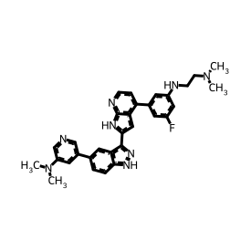 CN(C)CCNc1cc(F)cc(-c2ccnc3[nH]c(-c4n[nH]c5ccc(-c6cncc(N(C)C)c6)cc45)cc23)c1